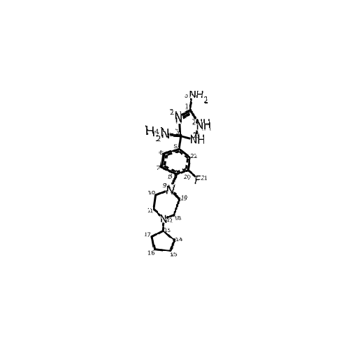 NC1=NC(N)(c2ccc(N3CCN(C4CCCC4)CC3)c(F)c2)NN1